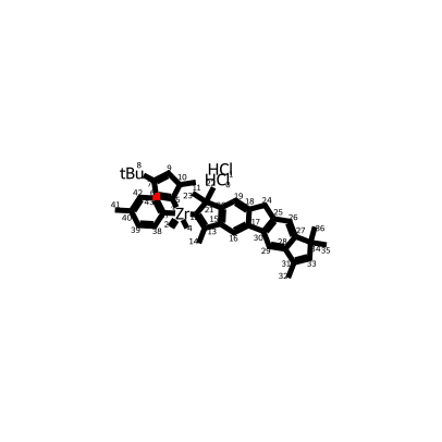 Cl.Cl.[CH2]=[Zr]([CH3])([C]1=CC(C(C)(C)C)=CC1C)([C]1=C(C)c2cc3c(cc2C1(C)C)Cc1cc2c(cc1-3)C(C)=CC2(C)C)[c]1ccc(C)cc1